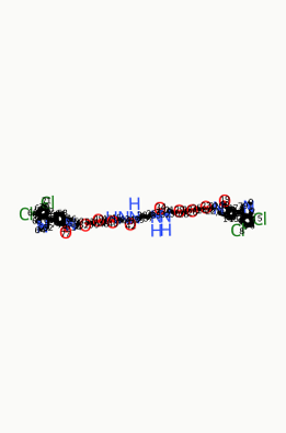 CN1Cc2c(Cl)cc(Cl)cc2C(c2ccc3c(c2)C(=O)N(CCOCCOCCOCCNC(=O)NCCCCNC(=O)NCCOCCOCCOCCN2Cc4ccc(C5CN(C)Cc6c(Cl)cc(Cl)cc65)cc4C2=O)C3)C1